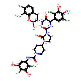 O=C(O)c1c(F)ccc2c1OB(O)[C@@H](NC(=O)C(NC(=O)N1CCN(C3CCN(C(=O)Nc4cc(O)c(F)c(O)c4F)CC3)C1=O)c1cc(F)c(O)c(O)c1Cl)C2